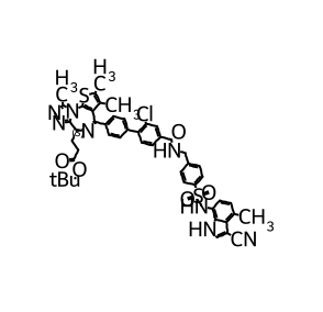 Cc1sc2c(c1C)C(c1ccc(-c3ccc(C(=O)NCc4ccc(S(=O)(=O)Nc5ccc(C)c6c(C#N)c[nH]c56)cc4)cc3Cl)cc1)=N[C@@H](CCC(=O)OC(C)(C)C)c1nnc(C)n1-2